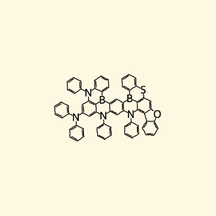 c1ccc(N(c2ccccc2)c2cc3c4c(c2)N(c2ccccc2)c2cc5c(cc2B4c2ccccc2N3c2ccccc2)B2c3ccccc3Sc3cc4oc6ccccc6c4c(c32)N5c2ccccc2)cc1